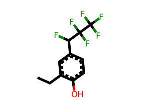 CCc1cc(C(F)C(F)(F)C(F)(F)F)ccc1O